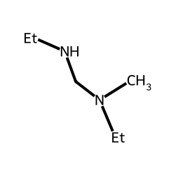 CCNCN(C)CC